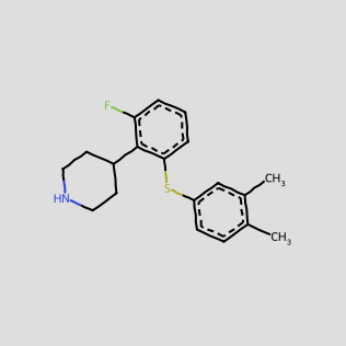 Cc1ccc(Sc2cccc(F)c2C2CCNCC2)cc1C